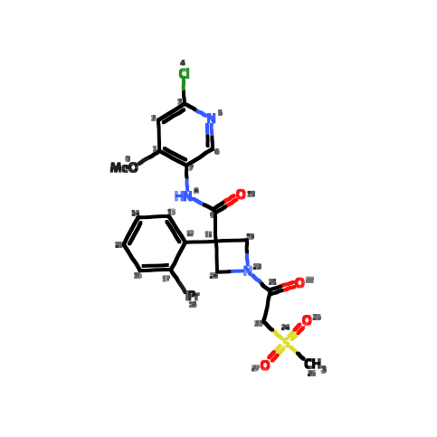 COc1cc(Cl)ncc1NC(=O)C1(c2ccccc2C(C)C)CN(C(=O)CS(C)(=O)=O)C1